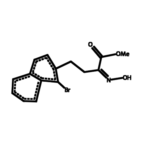 COC(=O)/C(CCc1ccc2ccccc2c1Br)=N\O